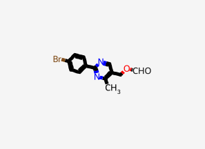 Cc1nc(-c2ccc(Br)cc2)ncc1COC=O